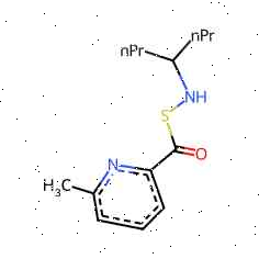 CCCC(CCC)NSC(=O)c1cccc(C)n1